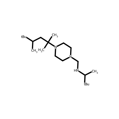 CC(CC(C)(C)N1CCN(CNC(C)C(C)(C)C)CC1)C(C)(C)C